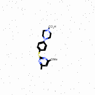 COc1cc(C)nc(Sc2ccc(N3CCN(C(=O)O)CC3)cc2)n1